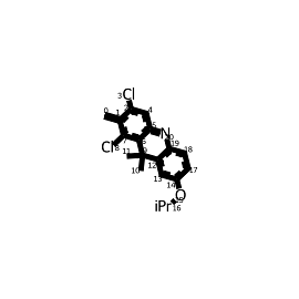 C=c1c(Cl)cc2c(c1Cl)C(C)(C)c1cc(OC(C)C)ccc1N=2